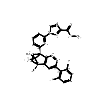 COC(=O)c1ncn(-c2cccc([C@@]34CC[C@@H](c5cc(-c6c(F)cccc6F)nnc53)C4(C)C)n2)n1